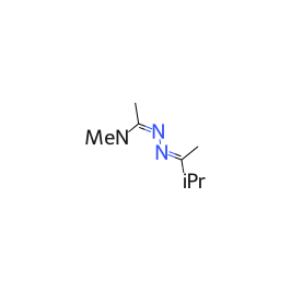 CN/C(C)=N\N=C(/C)C(C)C